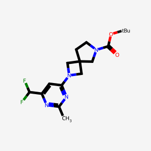 Cc1nc(C(F)F)cc(N2CC3(CCN(C(=O)OC(C)(C)C)C3)C2)n1